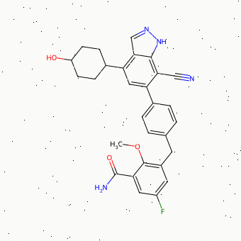 COc1c(Cc2ccc(-c3cc(C4CCC(O)CC4)c4cn[nH]c4c3C#N)cc2)cc(F)cc1C(N)=O